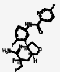 NC1=N[C@@]2(c3cc(NC(=O)c4ccc(F)cn4)ccc3F)COC[C@H]2C[C@]1(F)CF